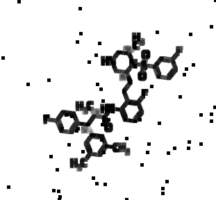 Cc1cc(C)cc([C@H](c2ccc(F)cc2)[C@H](C)C(=O)Nc2cccc(F)c2CC[C@H]2CNC[C@H](C)N2S(=O)(=O)c2cccc(F)c2)c1